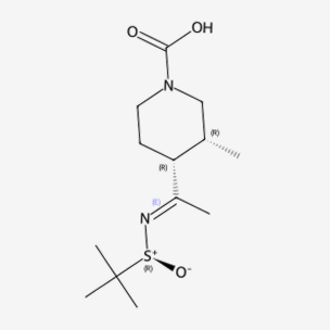 C/C(=N\[S@@+]([O-])C(C)(C)C)[C@@H]1CCN(C(=O)O)C[C@@H]1C